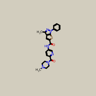 Cc1nn(-c2ccccc2)c2sc(C(=O)Nc3ccc(C(=O)N4CCN(C)CC4)nc3)cc12